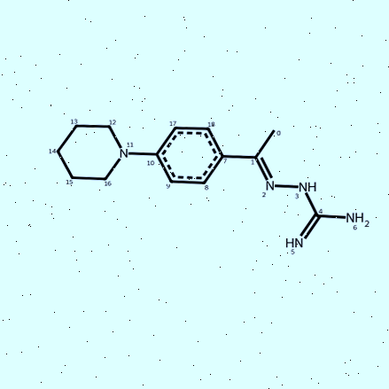 C/C(=N\NC(=N)N)c1ccc(N2CCCCC2)cc1